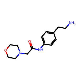 NCCc1ccc(NC(=O)CN2CCOCC2)cc1